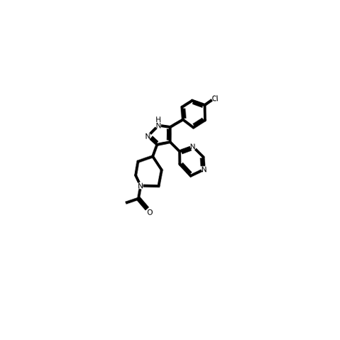 CC(=O)N1CCC(c2n[nH]c(-c3ccc(Cl)cc3)c2-c2ccncn2)CC1